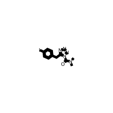 CN(C)C(=O)n1nnnc1Cc1ccc(I)cc1